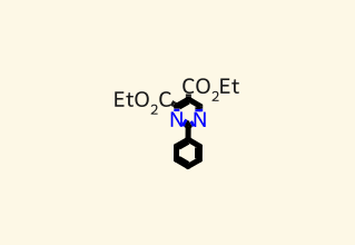 CCOC(=O)c1cnc(-c2ccccc2)nc1C(=O)OCC